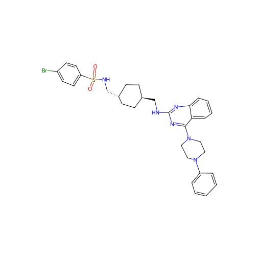 O=S(=O)(NC[C@H]1CC[C@H](CNc2nc(N3CCN(c4ccccc4)CC3)c3ccccc3n2)CC1)c1ccc(Br)cc1